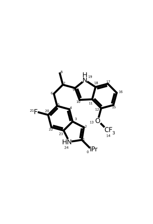 CC(C)c1cc2cc(CC(C)c3cc4c(OC(F)(F)F)cccc4[nH]3)c(F)cc2[nH]1